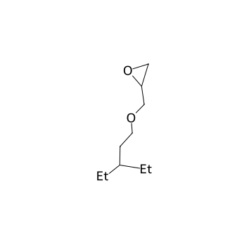 CCC(CC)CCOCC1CO1